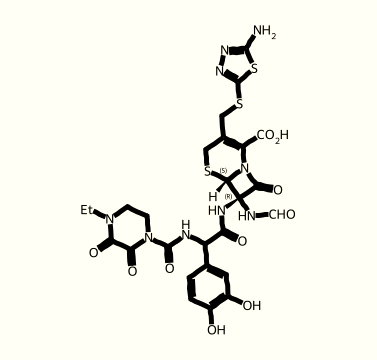 CCN1CCN(C(=O)NC(C(=O)N[C@]2(NC=O)C(=O)N3C(C(=O)O)=C(CSc4nnc(N)s4)CS[C@H]32)c2ccc(O)c(O)c2)C(=O)C1=O